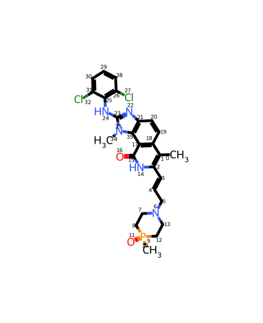 Cc1c(C=CCN2CCP(C)(=O)CC2)[nH]c(=O)c2c1ccc1nc(Nc3c(Cl)cccc3Cl)n(C)c12